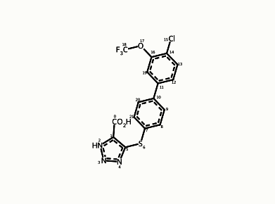 O=C(O)c1[nH]nnc1Sc1ccc(-c2ccc(Cl)c(OC(F)(F)F)c2)cc1